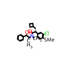 CSc1ccc([C@@H](CC2CCC2)C(=O)N(C)[C@H](C)[C@@H](O)c2ccccc2)cc1Cl